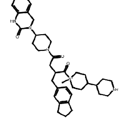 C[N+]1(C(=O)C(CC(=O)N2CCC(N3Cc4ccccc4NC3=O)CC2)Cc2ccc3c(c2)CCC3)CCC(C2CCNCC2)CC1